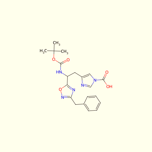 CC(C)(C)OC(=O)NC(Cc1cn(C(=O)O)cn1)c1nc(Cc2ccccc2)no1